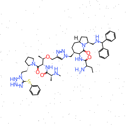 CCC(N)C(=O)N[C@@H]1C(=O)N2[C@@H](CC[C@@H]1Cn1cc(CO[C@H](C)[C@H](NC(=O)[C@H](C)NC)C(=O)N3CCC[C@H]3CCN3NNN=C3Sc3ccccc3)nn1)CC[C@H]2CNC(c1ccccc1)c1ccccc1